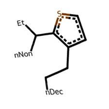 CCCCCCCCCCCCc1ccsc1C(CC)CCCCCCCCC